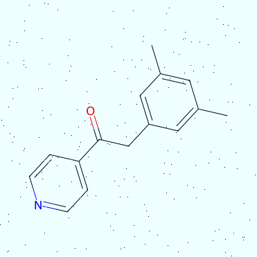 Cc1cc(C)cc(CC(=O)c2ccncc2)c1